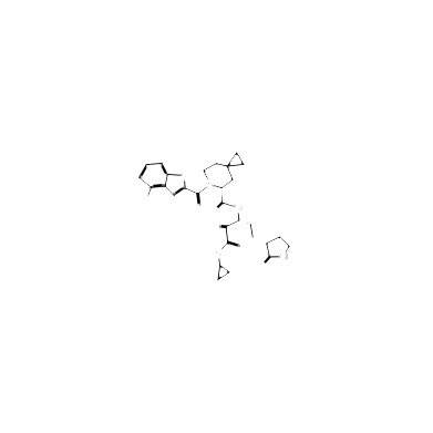 O=C(NC1CC1)C(=O)[C@H](CC[C@@H]1CCNC1=O)NC(=O)[C@@H]1CC2(CCN1C(=O)c1cc3c(F)cccc3[nH]1)CC2